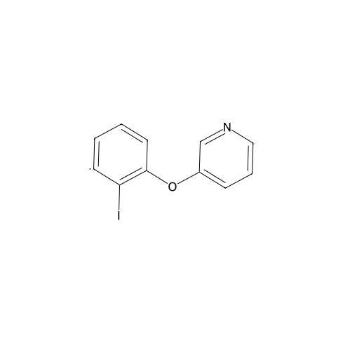 Ic1[c]cccc1Oc1cccnc1